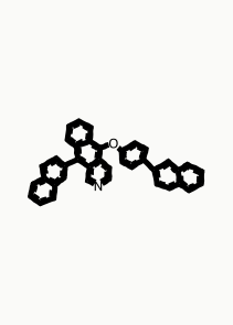 c1ccc2cc(-c3ccc(Oc4c5ccccc5c(-c5ccc6ccccc6c5)c5cnccc45)cc3)ccc2c1